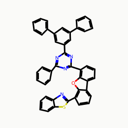 c1ccc(-c2cc(-c3ccccc3)cc(-c3nc(-c4ccccc4)nc(-c4cccc5c4oc4c(-c6nc7ccccc7s6)cccc45)n3)c2)cc1